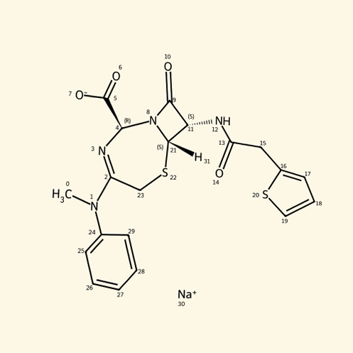 CN(C1=N[C@@H](C(=O)[O-])N2C(=O)[C@H](NC(=O)Cc3cccs3)[C@@H]2SC1)c1ccccc1.[Na+]